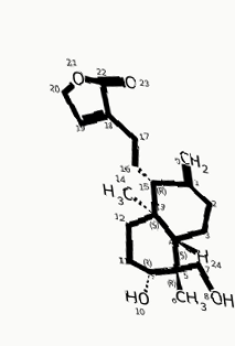 C=C1CC[C@@H]2[C@](C)(CO)[C@H](O)CC[C@@]2(C)[C@@H]1CCC1=CCOC1=O